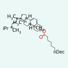 CCCCCCCCCCCCCCCC(=O)O[C@H]1CC[C@]2(C)C(=CC=C3[C@H]2CC[C@]2(C)[C@@H]([C@H](C)C=C[C@H](C)C(C)C)CC[C@@H]32)C1